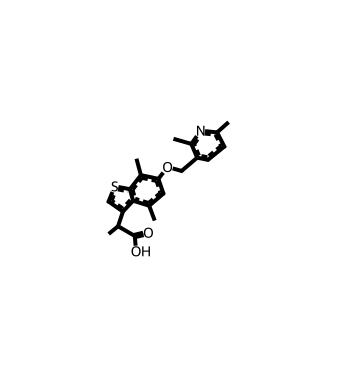 Cc1ccc(COc2cc(C)c3c(C(C)C(=O)O)csc3c2C)c(C)n1